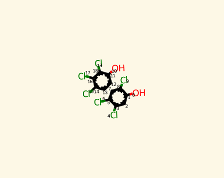 Oc1cc(Cl)c(Cl)cc1Cl.Oc1ccc(Cl)c(Cl)c1Cl